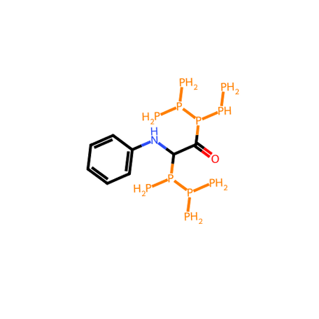 O=C(C(Nc1ccccc1)P(P)P(P)P)P(PP)P(P)P